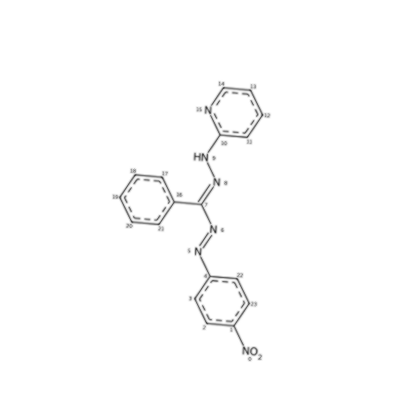 O=[N+]([O-])c1ccc(/N=N/C(=N/Nc2ccccn2)c2ccccc2)cc1